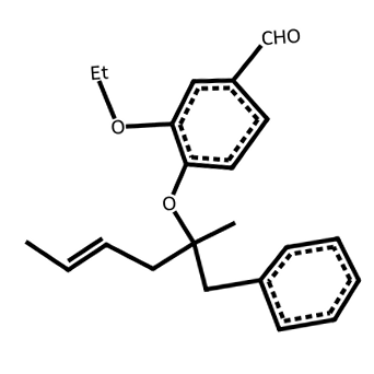 CC=CCC(C)(Cc1ccccc1)Oc1ccc(C=O)cc1OCC